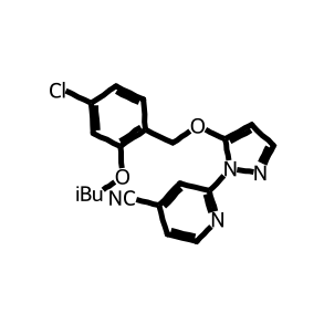 CCC(C)Oc1cc(Cl)ccc1COc1ccnn1-c1cc(C#N)ccn1